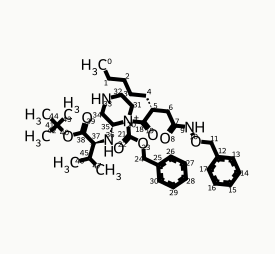 CCCCC[C@H](CC(=O)NOCc1ccccc1)C(=O)[N+]1(C(=O)OCc2ccccc2)CCNC[C@H]1N[C@H](C(=O)OC(C)(C)C)C(C)C